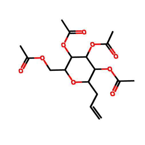 C=CCC1OC(COC(C)=O)C(OC(C)=O)C(OC(C)=O)C1OC(C)=O